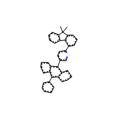 CC1(C)c2ccccc2-c2c(-c3ccc(-c4c5ccccc5c(-c5ccccc5)c5ccccc45)cn3)cccc21